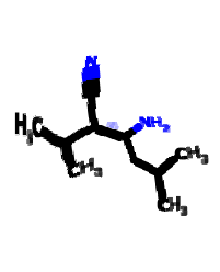 CC(C)C/C(N)=C(/C#N)C(C)C